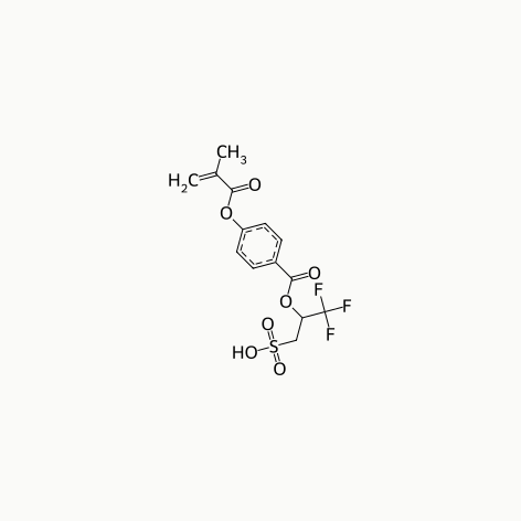 C=C(C)C(=O)Oc1ccc(C(=O)OC(CS(=O)(=O)O)C(F)(F)F)cc1